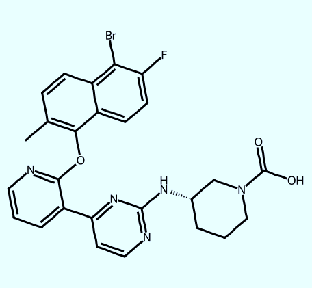 Cc1ccc2c(Br)c(F)ccc2c1Oc1ncccc1-c1ccnc(N[C@H]2CCCN(C(=O)O)C2)n1